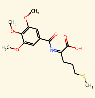 COc1cc(C(=O)N=C(CCCSC)C(=O)O)cc(OC)c1OC